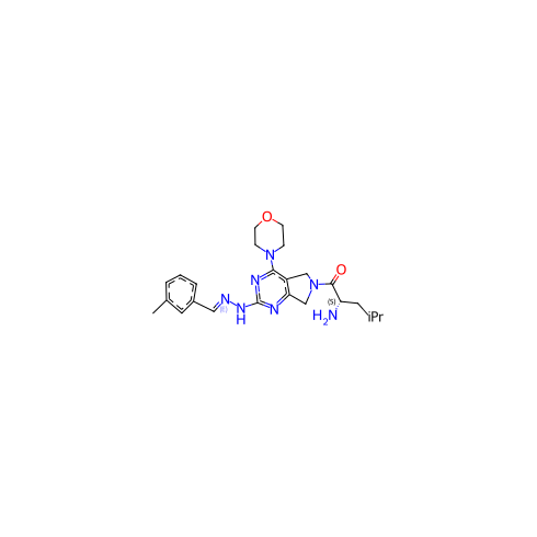 Cc1cccc(/C=N/Nc2nc3c(c(N4CCOCC4)n2)CN(C(=O)[C@@H](N)CC(C)C)C3)c1